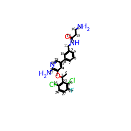 CC(Oc1cc(-c2cccc(CNC(=O)CCN)c2)cnc1N)c1c(Cl)ccc(F)c1Cl